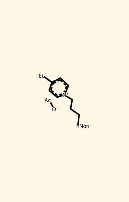 CC(=O)[O-].CCCCCCCCCCCC[n+]1ccc(CC)cc1